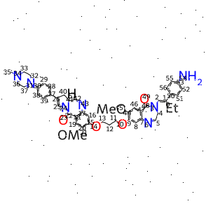 CC/C(=C\N1CC=Nc2cc(OCCCOc3cc4c(cc3OC)C(=O)N3C=C(c5ccc(N6CCN(C)CC6)cc5)C[C@H]3C=N4)c(OC)cc2C1=O)c1ccc(N)cc1